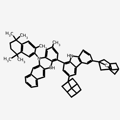 Cc1cc(-c2cc(C34CC5CC6CC(C3)C654)cc3c2[nH]c2ccc(C45CC6CC7CC6(C4)C7C5)cc23)c2c(c1)N(c1cc3c(cc1C)C(C)(C)CCC3(C)C)c1cc3ccccc3cc1B2